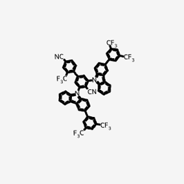 N#Cc1ccc(-c2cc(-n3c4ccccc4c4cc(-c5cc(C(F)(F)F)cc(C(F)(F)F)c5)ccc43)c(C#N)c(-n3c4ccccc4c4cc(-c5cc(C(F)(F)F)cc(C(F)(F)F)c5)ccc43)c2)c(C(F)(F)F)c1